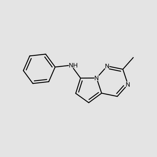 Cc1ncc2ccc(Nc3ccccc3)n2n1